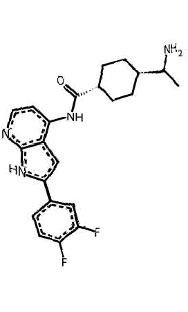 CC(N)[C@H]1CC[C@H](C(=O)Nc2ccnc3[nH]c(-c4ccc(F)c(F)c4)cc23)CC1